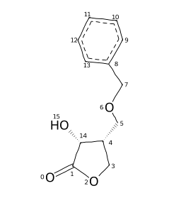 O=C1OC[C@@H](COCc2ccccc2)[C@H]1O